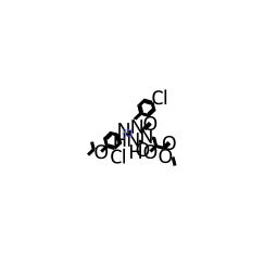 CCOC(=O)C(O)Cn1c(=O)[nH]/c(=N\c2ccc(OC(C)C)c(Cl)c2)n(Cc2ccc(Cl)cc2)c1=O